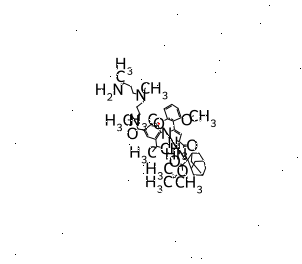 COc1cccc(OC)c1-c1cc(C(=O)NC2(C(=O)OC(C)(C)C)C3CC4CC(C3)CC2C4)nn1-c1ccc(C(=O)N(C)CCCN(C)CCC(C)N)cc1C(C)C